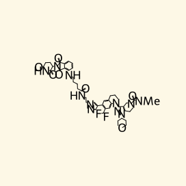 CNC(=O)N1CCc2c(c(N3CCCc4cc(-c5cnn(CCNC(=O)CCCCNc6cccc7c6C(=O)N(C6CCC(=O)NC6=O)C7=O)c5)c(C(F)F)cc43)nn2C2CCOCC2)C1